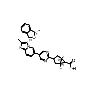 Cc1nc2ccc(-c3cnc(C4C[C@@H]5C(C(=O)O)[C@@H]5C4)nc3)cn2c1[C@H]1O[C@@H](C)c2ccccc21